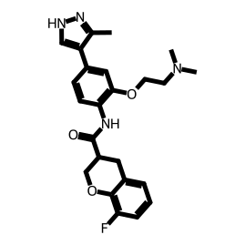 Cc1n[nH]cc1-c1ccc(NC(=O)C2COc3c(F)cccc3C2)c(OCCN(C)C)c1